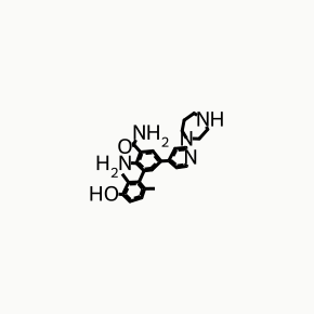 Cc1ccc(O)c(C)c1-c1cc(-c2ccnc(N3CCCNCC3)c2)cc(C(N)=O)c1N